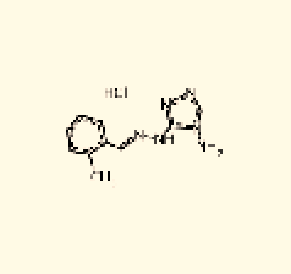 Cc1ccccc1C=NNc1nncn1N.Cl